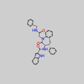 O=C(CN1C(=O)[C@H](NC(=O)c2cc3ccccc3[nH]2)[C@@H](c2ccccc2)Sc2ccccc21)NCc1ccccc1